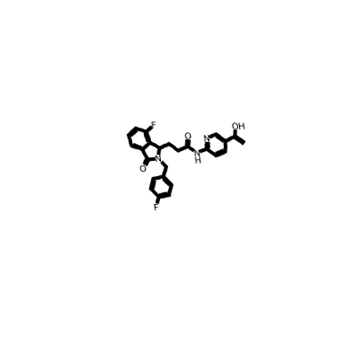 C=C(O)c1ccc(NC(=O)CCC2c3c(F)cccc3C(=O)N2Cc2ccc(F)cc2)nc1